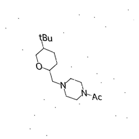 CC(=O)N1CCN(CC2CCC(C(C)(C)C)CO2)CC1